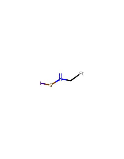 CCCNSI